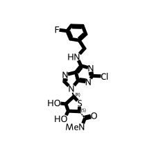 CNC(=O)[C@H]1S[C@@H](n2cnc3c(NCc4cccc(F)c4)nc(Cl)nc32)C(O)C1O